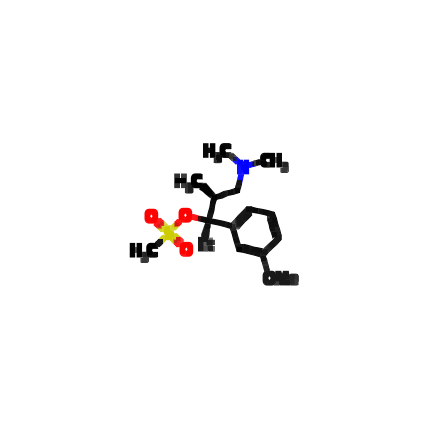 CC[C@](OS(C)(=O)=O)(c1cccc(OC)c1)[C@@H](C)CN(C)C